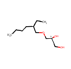 CCCCC(CC)COC[C@@H](O)CO